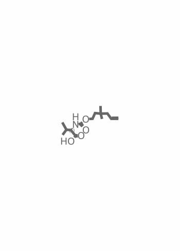 C=CCC(C)(C)CCOC(=O)N[C@H](C(=O)O)C(C)C